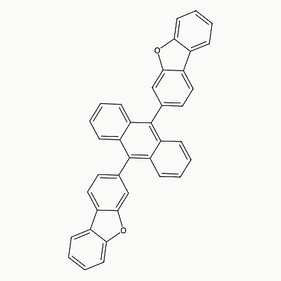 c1ccc2c(c1)oc1cc(-c3c4ccccc4c(-c4ccc5c(c4)oc4ccccc45)c4ccccc34)ccc12